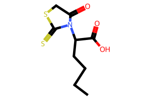 CCCCC(C(=O)O)N1C(=O)CSC1=S